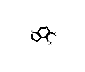 CCc1c(Cl)ccc2c1CCN2